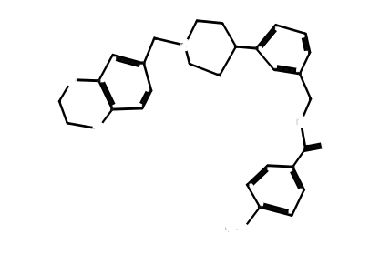 CSc1ccc(C(=O)NCc2cccc(C3CCN(Cc4ccc5c(c4)OCCO5)CC3)c2)cc1